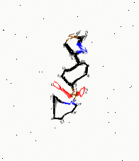 O=S(=O)(c1ccc(-c2cs[c]n2)cc1)N1CCCCC1